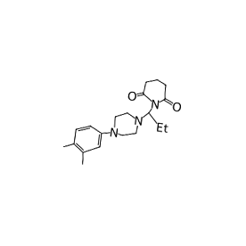 CCC(N1CCN(c2ccc(C)c(C)c2)CC1)N1C(=O)CCCC1=O